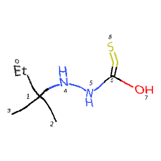 CCC(C)(C)NNC(O)=S